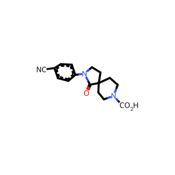 N#Cc1ccc(N2CCC3(CCN(C(=O)O)CC3)C2=O)cc1